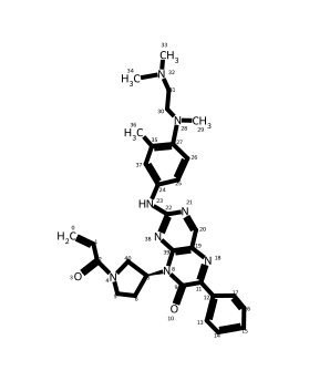 C=CC(=O)N1CC[C@H](n2c(=O)c(-c3ccccc3)nc3cnc(Nc4ccc(N(C)CCN(C)C)c(C)c4)nc32)C1